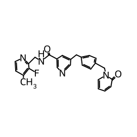 Cc1ccnc(CNC(=O)c2cncc(Cc3ccc(Cn4ccccc4=O)cc3)c2)c1F